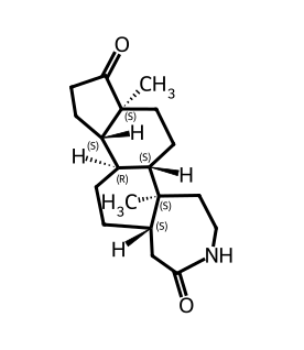 C[C@]12CCNC(=O)C[C@@H]1CC[C@@H]1[C@@H]2CC[C@]2(C)C(=O)CC[C@@H]12